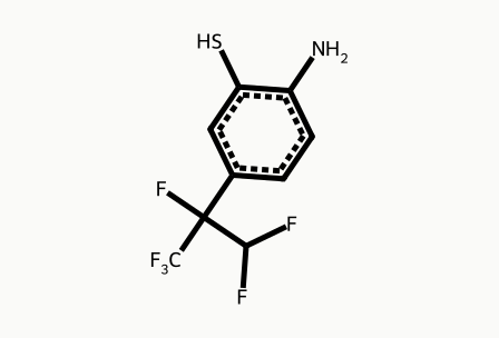 Nc1ccc(C(F)(C(F)F)C(F)(F)F)cc1S